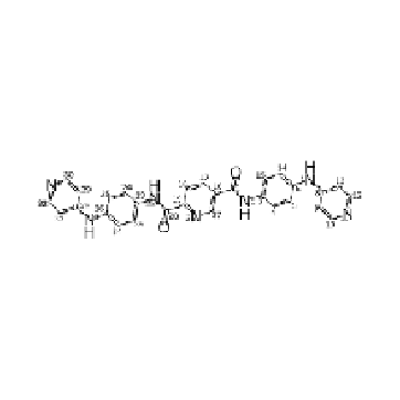 O=C(Nc1ccc(Nc2ccncc2)cc1)c1ccc(C(=O)Nc2ccc(Nc3ccncc3)cc2)nc1